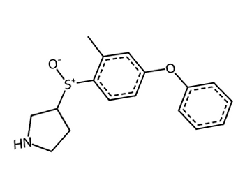 Cc1cc(Oc2ccccc2)ccc1[S+]([O-])C1CCNC1